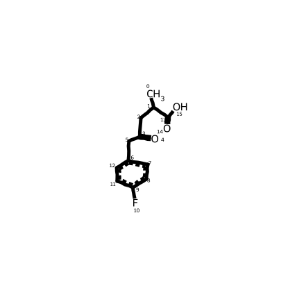 CC(CC(=O)Cc1ccc(F)cc1)C(=O)O